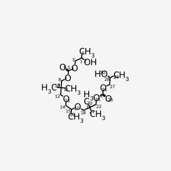 CC(O)COC(=O)OCC(C)(C)COCC(C)OCC(C)(C)COC(=O)OCC(C)O